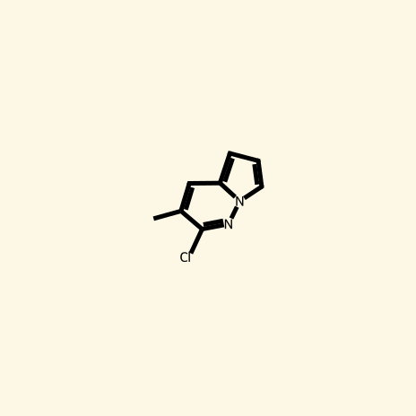 Cc1cc2cccn2nc1Cl